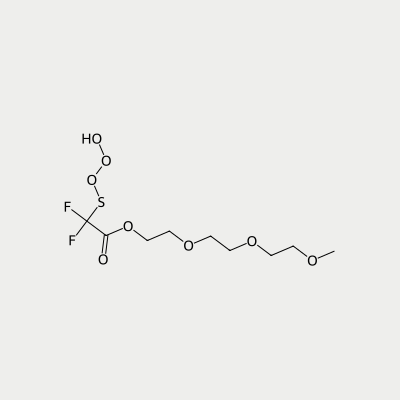 COCCOCCOCCOC(=O)C(F)(F)SOOO